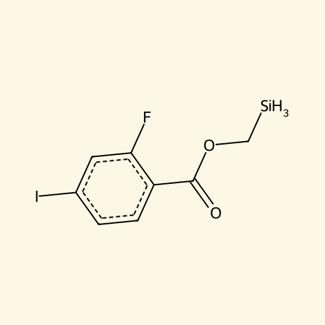 O=C(OC[SiH3])c1ccc(I)cc1F